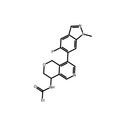 CCC(=O)NC1COCc2c(-c3cc4c(cnn4C)cc3F)cncc21